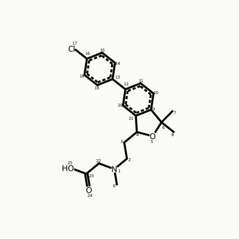 CN(CCC1OC(C)(C)c2ccc(-c3ccc(Cl)cc3)cc21)CC(=O)O